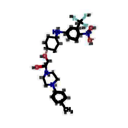 Cc1ccc(N2CCN(C(=O)CO[C@H]3CC[C@H](Nc4ccc([N+](=O)[O-])c(C(F)(F)F)c4)CC3)CC2)cc1